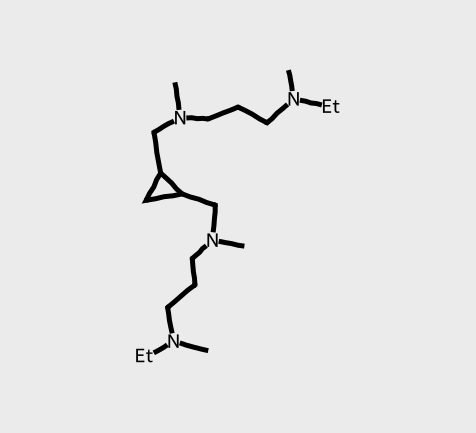 CCN(C)CCCN(C)CC1CC1CN(C)CCCN(C)CC